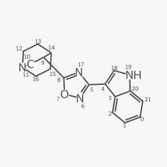 c1ccc2c(-c3noc(C4CN5CCC4CC5)n3)c[nH]c2c1